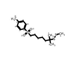 CSSC(C)(C)CCCCCS(=O)(=O)c1ccc(C)cc1